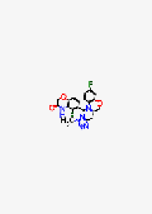 Cn1nnc(C[C@H]2COc3cc(F)ccc3N2Cc2ccc3c(c2F)NC(=O)CO3)n1